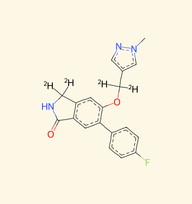 [2H]C1([2H])NC(=O)c2cc(-c3ccc(F)cc3)c(OC([2H])([2H])c3cnn(C)c3)cc21